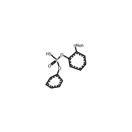 CCCCCCCCCc1ccccc1OP(=O)(S)Oc1ccccc1